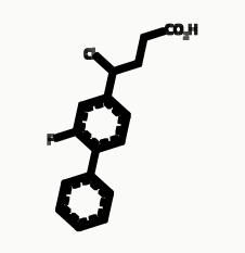 O=C(O)CCC(Cl)c1ccc(-c2ccccc2)c(F)c1